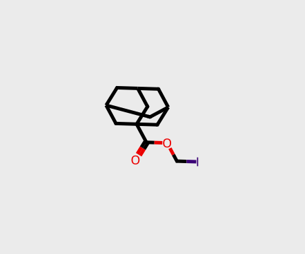 O=C(OCI)C12CC3CC(CC(C3)C1)C2